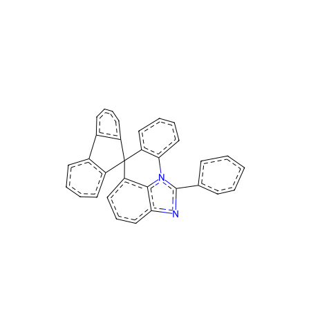 c1ccc(-c2nc3cccc4c3n2-c2ccccc2C42c3ccccc3-c3ccccc32)cc1